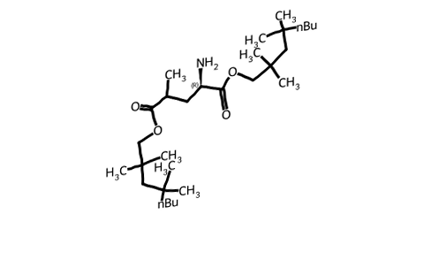 CCCCC(C)(C)CC(C)(C)COC(=O)C(C)C[C@@H](N)C(=O)OCC(C)(C)CC(C)(C)CCCC